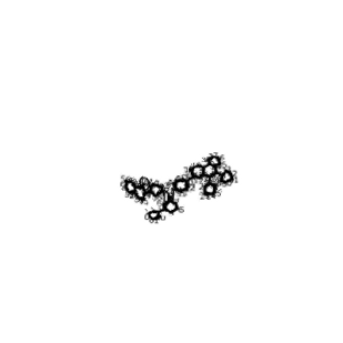 c1ccc(-c2cccc(N(c3ccc(-c4ccc5c(c4)c(-c4ccccc4)c(-c4ccccc4)c4ccccc45)cc3)c3ccc4oc5c6ccccc6ccc5c4c3)c2)cc1